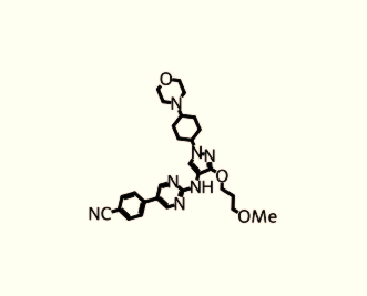 COCCCOc1nn(C2CCC(N3CCOCC3)CC2)cc1Nc1ncc(-c2ccc(C#N)cc2)cn1